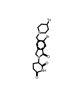 [2H]C1CCN(Cc2cc3c(cc2Br)C(=O)N(C2CCC(=O)NC2=O)C3)CC1